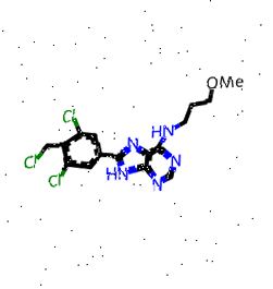 COCCCNc1ncnc2[nH]c(-c3cc(Cl)c(CCl)c(Cl)c3)nc12